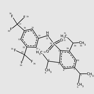 CC(C)c1cc(C(C)C)c(S(=O)(=O)Nc2cc(C(F)(F)F)cc(C(F)(F)F)c2)c(C(C)C)c1